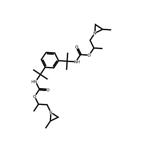 CC(CN1CC1C)OC(=O)NC(C)(C)c1cccc(C(C)(C)NC(=O)OC(C)CN2CC2C)c1